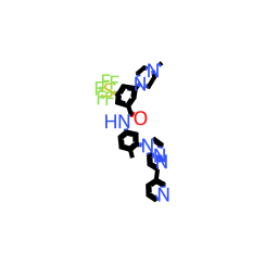 Cc1ccc(NC(=O)c2cc(N3CCN(C)CC3)cc(S(F)(F)(F)(F)F)c2)cc1-n1ccn2nc(-c3cccnc3)cc12